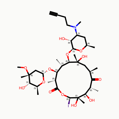 C#CCCN(C)[C@H]1C[C@@H](C)O[C@@H](O[C@@H]2[C@@H](C)[C@H](O[C@H]3C[C@@](C)(OC)[C@@H](O)[C@H](C)O3)[C@@H](C)C(=O)O[C@H](I)[C@@](C)(O)[C@H](O)[C@@H](C)C(=O)[C@H](C)C[C@@]2(C)O)[C@@H]1O